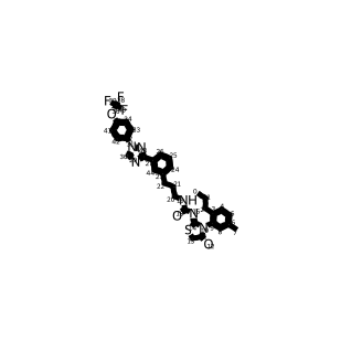 CCCc1ccc(C)cc1N1C(=O)CS/C1=N\C(=O)NCCCc1cccc(-c2ncn(-c3ccc(OC(F)(F)F)cc3)n2)c1